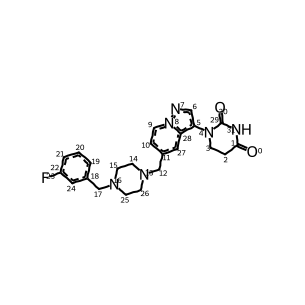 O=C1CCN(c2cnn3ccc(CN4CCN(Cc5cccc(F)c5)CC4)cc23)C(=O)N1